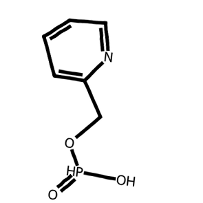 O=[PH](O)OCc1ccccn1